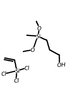 C=C[Si](Cl)(Cl)Cl.CO[Si](C)(CCCO)OC